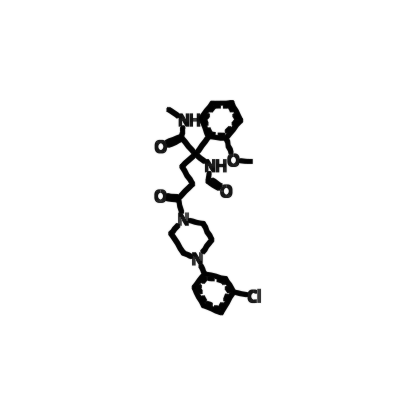 CNC(=O)C(CCC(=O)N1CCN(c2cccc(Cl)c2)CC1)(NC=O)c1ccccc1OC